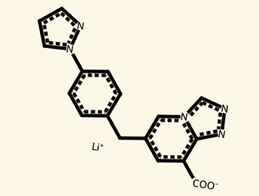 O=C([O-])c1cc(Cc2ccc(-n3cccn3)cc2)cn2cnnc12.[Li+]